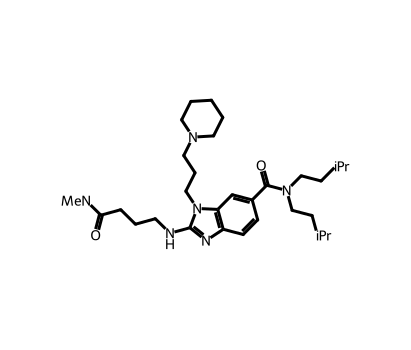 CNC(=O)CCCNc1nc2ccc(C(=O)N(CCC(C)C)CCC(C)C)cc2n1CCCN1CCCCC1